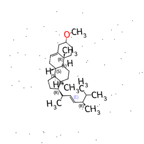 COC1CC[C@@]2(C)C(=CC[C@H]3[C@@H]4CC[C@H](C(C)/C=C/[C@H](C)C(C)C)[C@@]4(C)CC[C@@H]32)C1